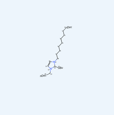 CCCCCCCCCCCCCCCCCCN1C=CN(CCCCCCCCCCC)C1CCCC